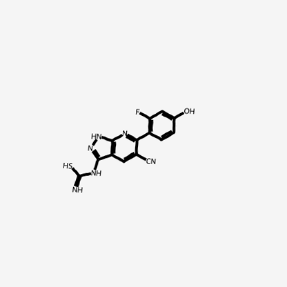 N#Cc1cc2c(NC(=N)S)n[nH]c2nc1-c1ccc(O)cc1F